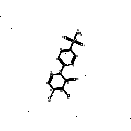 NS(=O)(=O)c1ccc(-n2ncc(Cl)c(Cl)c2=O)cc1